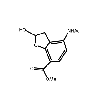 COC(=O)c1ccc(NC(C)=O)c2c1OC(O)C2